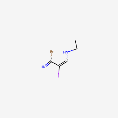 CCN/C=C(/I)C(=N)Br